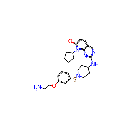 NCCOc1cccc(SN2CCC(Nc3ncc4ccc(=O)n(C5CCCC5)c4n3)CC2)c1